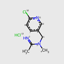 CC(=N)N(C)Cc1ccc(Cl)nc1.Cl